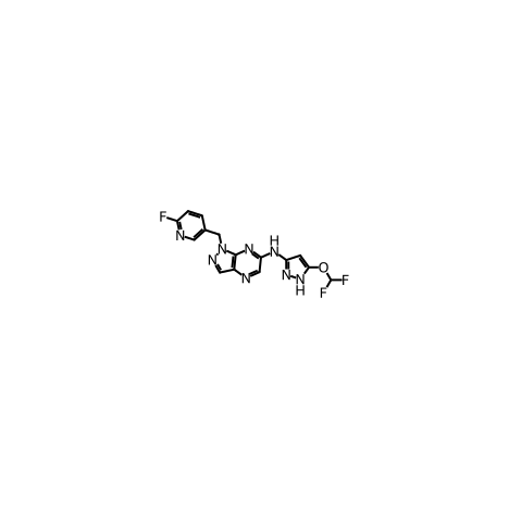 Fc1ccc(Cn2ncc3ncc(Nc4cc(OC(F)F)[nH]n4)nc32)cn1